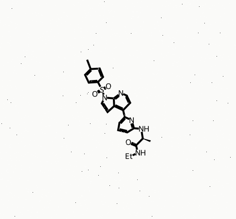 CCNC(=O)[C@H](C)Nc1cccc(-c2ccnc3c2ccn3S(=O)(=O)c2ccc(C)cc2)n1